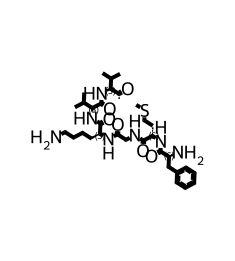 CSCC[C@H](NC(=O)[C@@H](N)Cc1ccccc1)C(=O)NCC(=O)N[C@@H](CCCCN)C(=O)N[C@H](C(=O)N[C@H]([C]=O)C(C)C)C(C)C